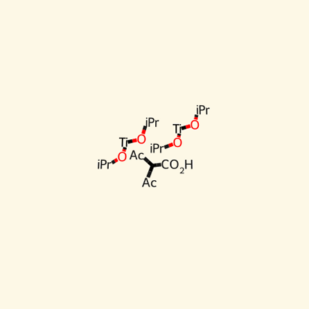 CC(=O)C(C(C)=O)C(=O)O.CC(C)[O][Ti][O]C(C)C.CC(C)[O][Ti][O]C(C)C